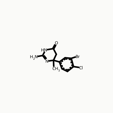 CC1(c2ccc(Cl)c(Br)c2)CC(=O)NC(N)=N1